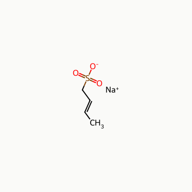 CC=CCS(=O)(=O)[O-].[Na+]